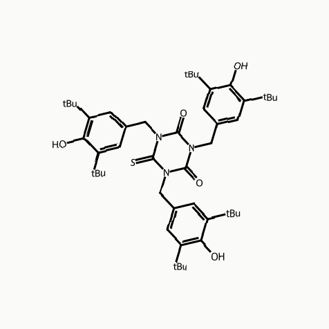 CC(C)(C)c1cc(Cn2c(=O)n(Cc3cc(C(C)(C)C)c(O)c(C(C)(C)C)c3)c(=S)n(Cc3cc(C(C)(C)C)c(O)c(C(C)(C)C)c3)c2=O)cc(C(C)(C)C)c1O